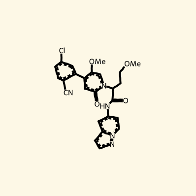 COCCC(C(=O)Nc1ccn2nccc2c1)n1cc(OC)c(-c2cc(Cl)ccc2C#N)cc1=O